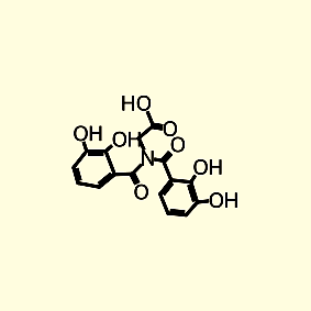 O=C(O)CN(C(=O)c1cccc(O)c1O)C(=O)c1cccc(O)c1O